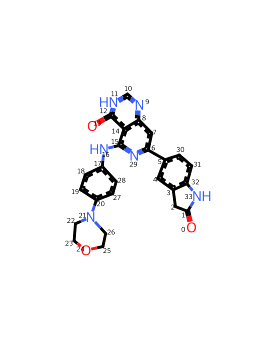 O=C1Cc2cc(-c3cc4nc[nH]c(=O)c4c(Nc4ccc(N5CCOCC5)cc4)n3)ccc2N1